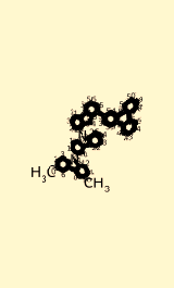 Cc1ccc2c(c1)c1cc(C)ccc1n2-c1ccc2c(c1)c1ccccc1n2-c1cccc2c1Cc1c(-c3ccc4c5ccccc5c5ccccc5c4c3)cccc1-2